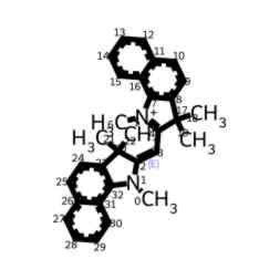 CN1/C(=C/C2=[N+](C)c3c(ccc4ccccc34)C2(C)C)C(C)(C)c2ccc3ccccc3c21